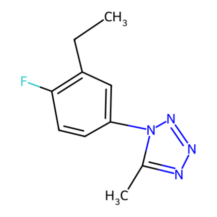 CCc1cc(-n2nnnc2C)ccc1F